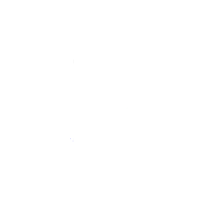 Cl.Fc1ccc2c(c1-c1ccc(C(F)(F)F)cc1)CCNC2